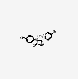 C[C@@]1(c2ccc(Cl)cc2)C(=O)N[C@H]1c1ccc(Br)cn1